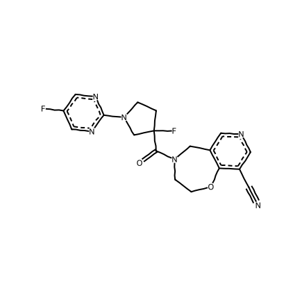 N#Cc1cncc2c1OCCN(C(=O)C1(F)CCN(c3ncc(F)cn3)C1)C2